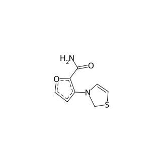 NC(=O)c1occc1N1C=CSC1